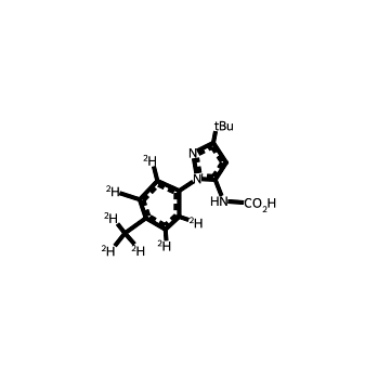 [2H]c1c([2H])c(C([2H])([2H])[2H])c([2H])c([2H])c1-n1nc(C(C)(C)C)cc1NC(=O)O